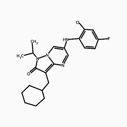 CC(C)n1c(=O)c(CC2CCCCC2)c2ncc(Nc3ccc(F)cc3Cl)cn21